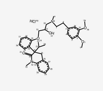 COc1ccc(CCN(C)CC(O)COc2ccccc2C2(C(C)C)Cc3ccccc3N(C)C2=O)cc1OC.Cl